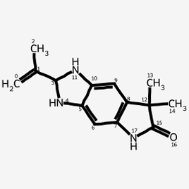 C=C(C)C1Nc2cc3c(cc2N1)C(C)(C)C(=O)N3